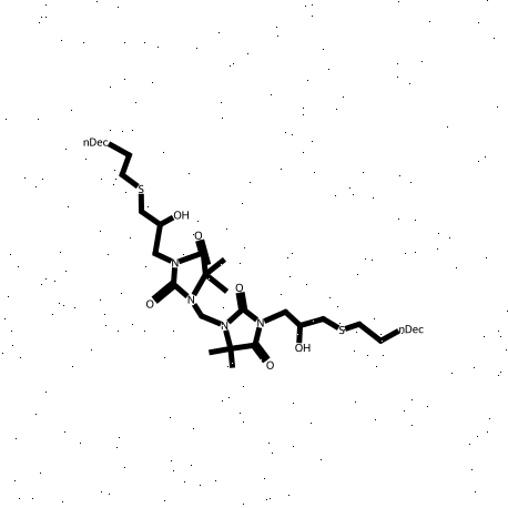 CCCCCCCCCCCCSCC(O)CN1C(=O)N(CN2C(=O)N(CC(O)CSCCCCCCCCCCCC)C(=O)C2(C)C)C(C)(C)C1=O